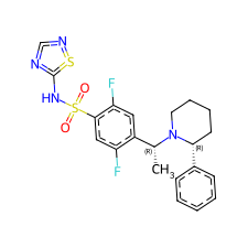 C[C@H](c1cc(F)c(S(=O)(=O)Nc2ncns2)cc1F)N1CCCC[C@@H]1c1ccccc1